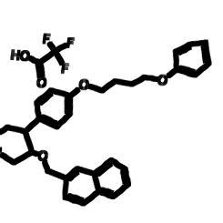 O=C(O)C(F)(F)F.c1ccc(OCCCCOc2ccc(C3CCNCC3OCc3ccc4ccccc4c3)cc2)cc1